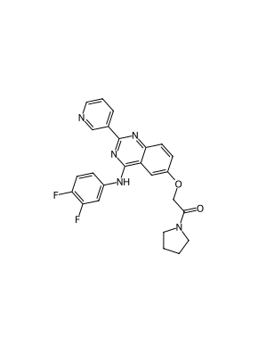 O=C(COc1ccc2nc(-c3cccnc3)nc(Nc3ccc(F)c(F)c3)c2c1)N1CCCC1